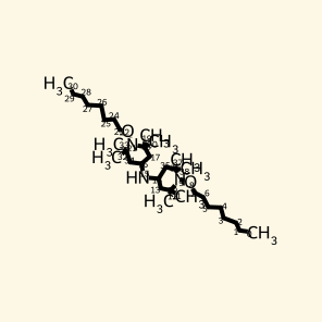 CCCCCCCCON1C(C)(C)CC(NC2CC(C)(C)N(OCCCCCCCC)C(C)(C)C2)CC1(C)C